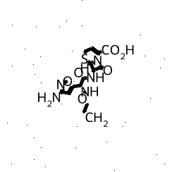 C=CCONC(C(=O)NC1C(=O)N2C(C(=O)O)=CCS[C@H]12)c1cc(N)no1